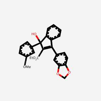 CCOC(=O)C1=C(c2ccc3c(c2)OCO3)c2ccccc2C1(O)c1cccc(OC)c1